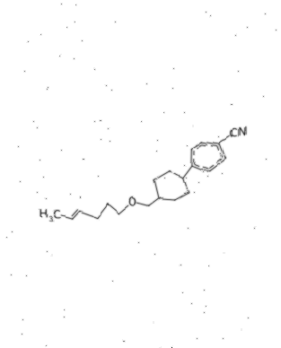 C/C=C/CCCOCC1CCC(c2ccc(C#N)cc2)CC1